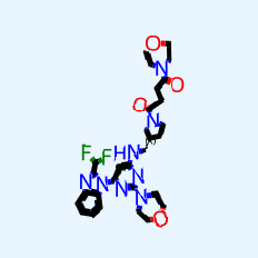 O=C(CCC(=O)N1CC[C@H](CNc2cc(-n3c(C(F)F)nc4ccccc43)nc(N3CCOCC3)n2)C1)N1CCOCC1